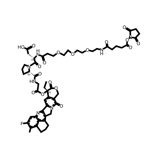 CC[C@@]1(OC(=O)CNC(=O)[C@@H]2CCCN2C(=O)[C@H](CC(=O)O)NC(=O)CCOCCOCCOCCNC(=O)CCCC(=O)ON2C(=O)CCC2=O)C(=O)OCc2c1cc1n(c2=O)Cc2c-1nc1cc(F)c(C)c3c1c2CCC3